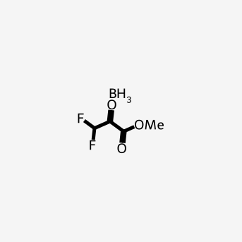 B.COC(=O)C(=O)C(F)F